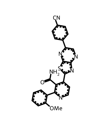 COc1ccccc1-c1nccc(-c2nc3ncc(-c4ccc(C#N)cc4)nc3s2)c1C(N)=O